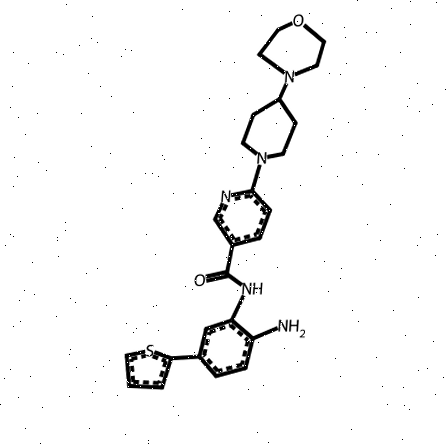 Nc1ccc(-c2cccs2)cc1NC(=O)c1ccc(N2CCC(N3CCOCC3)CC2)nc1